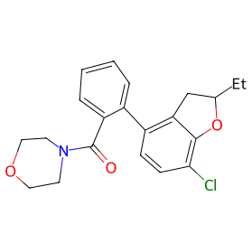 CCC1Cc2c(-c3ccccc3C(=O)N3CCOCC3)ccc(Cl)c2O1